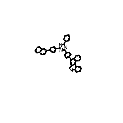 c1ccc(-c2nc(-c3ccc(-c4ccc5ccccc5c4)cc3)nc(-c3ccc(-c4cc5cnc6ccccc6c5c5ccccc45)cc3)n2)cc1